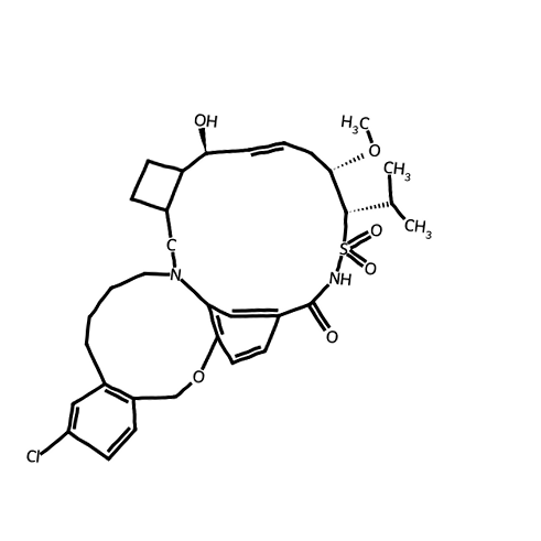 CO[C@H]1C/C=C/[C@H](O)C2CCC2CN2CCCCc3cc(Cl)ccc3COc3ccc(cc32)C(=O)NS(=O)(=O)[C@H]1C(C)C